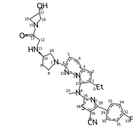 CCc1cc2ccc(N3CC[C@@H](NCC(=O)N4CC(O)C4)C3)nn2c1N(C)c1nc(-c2ccc(F)cc2)c(C#N)s1